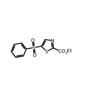 CCOC(=O)c1ncc(S(=O)(=O)c2ccccc2)s1